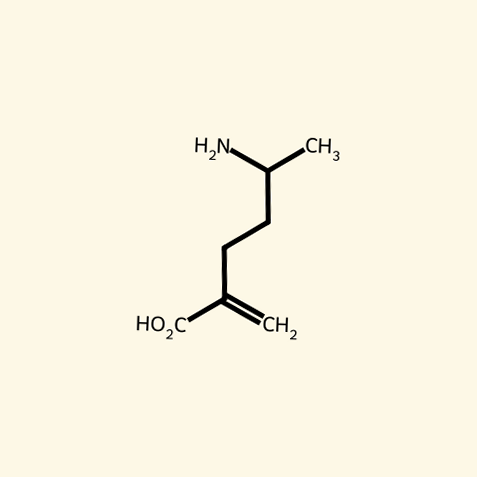 C=C(CCC(C)N)C(=O)O